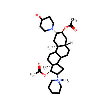 CC(=O)O[C@H]1C[C@@H]2CCC3C4C[C@H]([N+]5(C)CCCCC5)[C@H](OC(C)=O)[C@@]4(C)CCC3[C@@]2(C)C[C@@H]1N1CCC(O)CC1